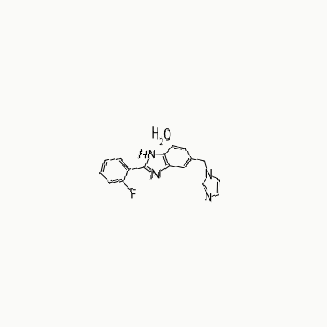 Fc1ccccc1-c1nc2cc(Cn3ccnc3)ccc2[nH]1.O